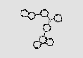 c1ccc(N(c2ccc(-c3cc4ccccc4c4ccccc34)cc2)c2cccc(-c3ccc4ccccc4c3)c2)cc1